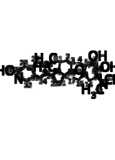 CC1C=C2C=C3[C@@H](O)[C@H](O)[C@@H](N(C)C)C[C@]34CC[C@]2(O4)C2CC=C(c3ccc4cc(O)ncc4c3)[C@@]12C